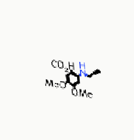 C#CCNc1cc(OC)c(OC)cc1C(=O)O